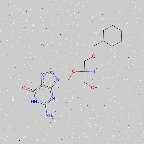 Nc1nc2c(ncn2COC(I)(CO)COCC2CCCCC2)c(=O)[nH]1